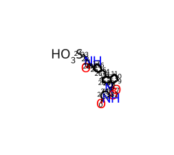 O=C1CC[C@H](N2C(=O)c3cccc4c(Cc5ccc(C(=O)NCCS(=O)(=O)O)cc5)ccc2c34)C(=O)N1